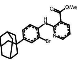 COC(=O)c1cccnc1Nc1ccc(C23CC4CC(CC(C4)C2)C3)cc1Br